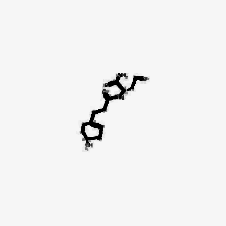 NC(=O)[C@H](CC=O)NC(=O)CCC1=CC[C@@H](O)CC1